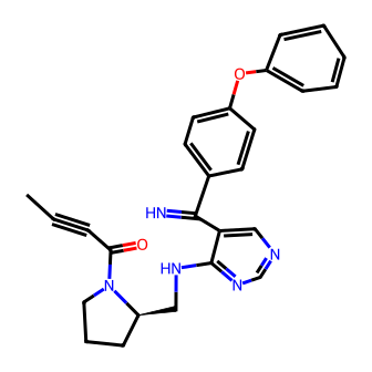 CC#CC(=O)N1CCC[C@@H]1CNc1ncncc1C(=N)c1ccc(Oc2ccccc2)cc1